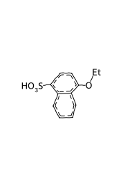 CCOc1ccc(S(=O)(=O)O)c2ccccc12